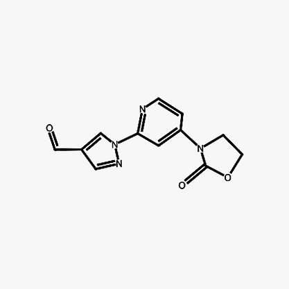 O=Cc1cnn(-c2cc(N3CCOC3=O)ccn2)c1